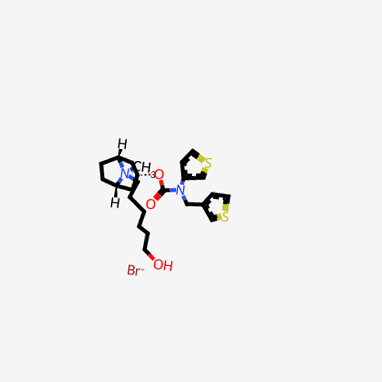 C[N+]1(CCCCCCO)[C@@H]2CC[C@H]1C[C@@H](OC(=O)N(Cc1ccsc1)c1ccsc1)C2.[Br-]